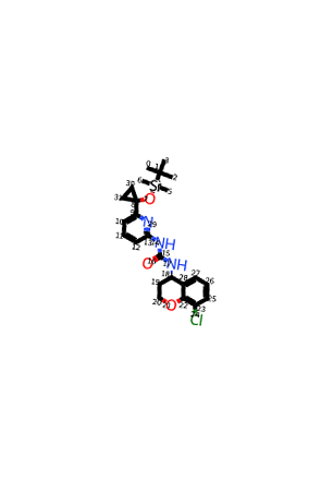 CC(C)(C)[Si](C)(C)OC1(c2cccc(NC(=O)N[C@H]3CCOc4c(Cl)cccc43)n2)CC1